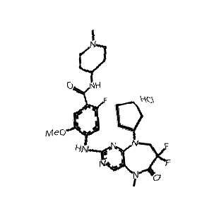 COc1cc(C(=O)NC2CCN(C)CC2)c(F)cc1Nc1ncc2c(n1)N(C1CCCC1)CC(F)(F)C(=O)N2C.Cl